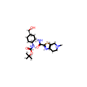 CN1CCc2nc(C(=O)N[C@H]3C[C@H](CO)CC[C@@H]3NC(=O)OC(C)(C)C)sc2C1